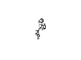 O=C(CCNc1nnc2cc(Br)ccc2n1)OC(c1ccccn1)c1ccccn1